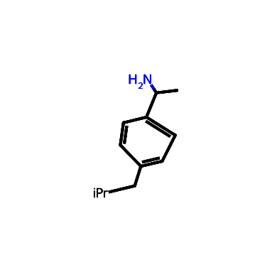 CC(C)Cc1ccc(C(C)N)cc1